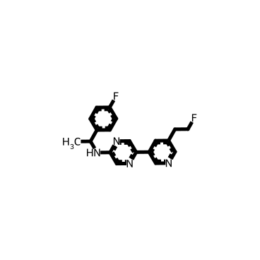 CC(Nc1cnc(-c2cncc(CCF)c2)cn1)c1ccc(F)cc1